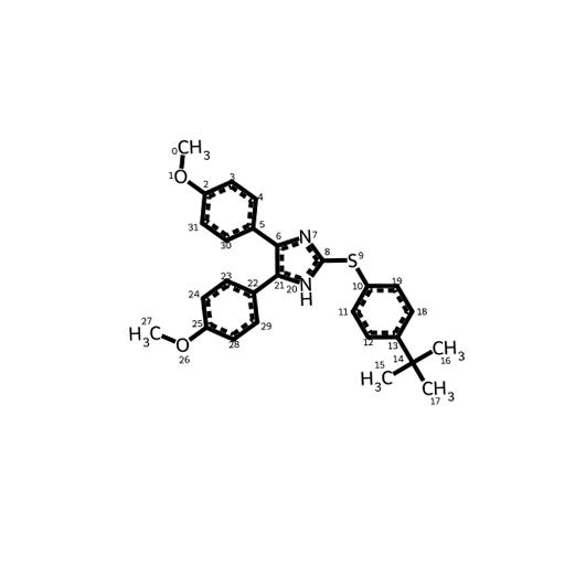 COc1ccc(-c2nc(Sc3ccc(C(C)(C)C)cc3)[nH]c2-c2ccc(OC)cc2)cc1